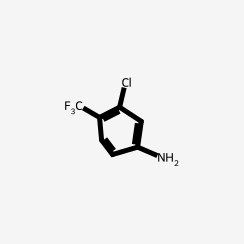 Nc1ccc(C(F)(F)F)c(Cl)c1